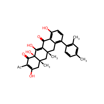 CC(=O)C1=C(O)C[C@@]2(C)C[C@@]3(C)Cc4c(-c5ccc(C)cc5C)ccc(O)c4C(=O)C3=C(O)[C@@]2(O)C1=O